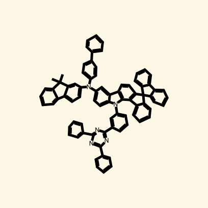 CC1(C)c2ccccc2-c2ccc(N(c3ccc(-c4ccccc4)cc3)c3ccc4c(c3)c3ccc5c(c3n4-c3cccc(-c4nc(-c6ccccc6)nc(-c6ccccc6)n4)c3)-c3ccccc3C53c4ccccc4-c4ccccc43)cc21